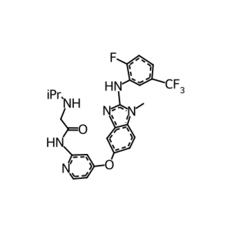 CC(C)NCC(=O)Nc1cc(Oc2ccc3c(c2)nc(Nc2cc(C(F)(F)F)ccc2F)n3C)ccn1